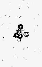 Cc1cc(C(C)Nc2ccccc2)c2oc(N3CCSCC3)cc(=O)c2c1